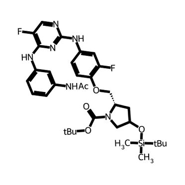 CC(=O)Nc1cccc(Nc2nc(Nc3ccc(OC[C@@H]4CC(O[Si](C)(C)C(C)(C)C)CN4C(=O)OC(C)(C)C)c(F)c3)ncc2F)c1